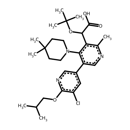 Cc1ncc(-c2cnc(OCC(C)C)c(Cl)c2)c(N2CCC(C)(C)CC2)c1C(OC(C)(C)C)C(=O)O